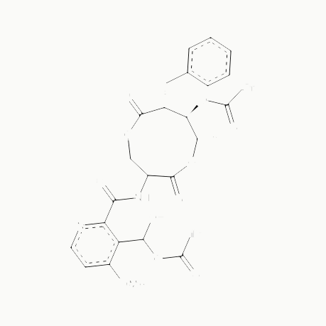 COc1ccnc(C(=O)NC2COC(=O)[C@H](Cc3ccccc3)[C@@H](OC(=O)C(C)C)[C@H](C)OC2=O)c1C(O)OC(=O)C(C)C